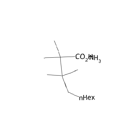 CCCCCCCC(C)(C)C(C)(C)C(=O)O.N